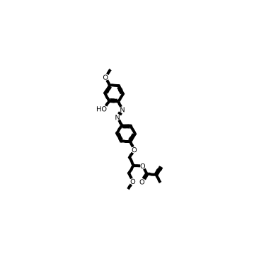 C=C(C)C(=O)OC(COC)COc1ccc(N=Nc2ccc(OC)cc2O)cc1